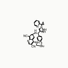 CC(C)(C)CNc1c(C#N)cnc2c(C#N)cc(N[C@H](C3=CN(C4(c5ccccn5)CC4)NN3)c3ccc(F)cc3)cc12